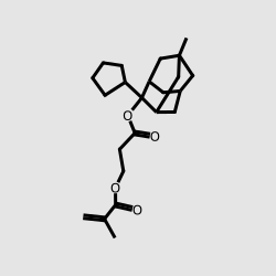 C=C(C)C(=O)OCCC(=O)OC1(C2CCCC2)C2CC3CC1CC(C)(C3)C2